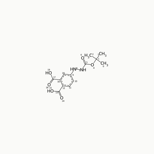 CC(C)(C)OC(=O)NNc1ccc(C(=O)O)c(C(=O)O)c1